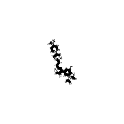 Cc1nc2c(F)cc(-c3cc(CCc4ncc(N5CCC(N(C)C)CC5)cn4)ncc3F)cc2n1C(C)C